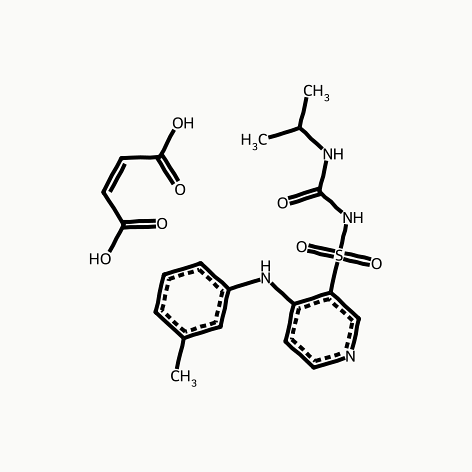 Cc1cccc(Nc2ccncc2S(=O)(=O)NC(=O)NC(C)C)c1.O=C(O)/C=C\C(=O)O